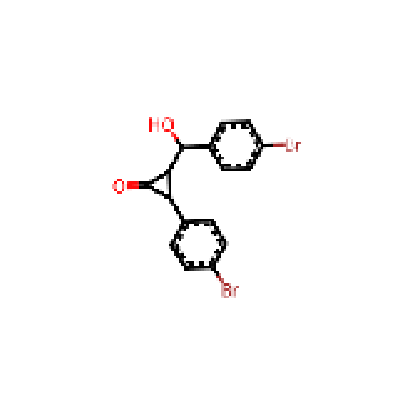 O=C1C(c2ccc(Br)cc2)C1C(O)c1ccc(Br)cc1